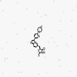 CN1CCN(c2ccc(-c3cnc4ccc(/C=C5\SC(=S)NC5=O)cn34)cn2)CC1